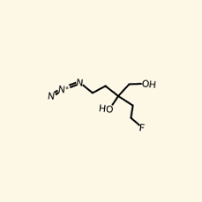 [N-]=[N+]=NCCC(O)(CO)CCF